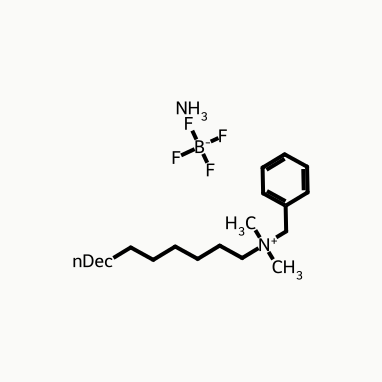 CCCCCCCCCCCCCCCC[N+](C)(C)Cc1ccccc1.F[B-](F)(F)F.N